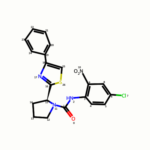 O=C(Nc1ccc(Cl)cc1[N+](=O)[O-])N1CCC[C@H]1c1nc(-c2ccccc2)cs1